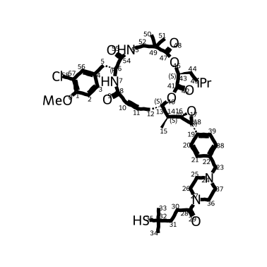 COc1ccc(C[C@H]2NC(=O)C=CC[C@@H]([C@H](C)[C@H]3O[C@@H]3c3ccc(CN4CCN(C(=O)CCC(C)(C)S)CC4)cc3)OC(=O)[C@H](CC(C)C)OC(=O)C(C)(C)CNC2=O)cc1Cl